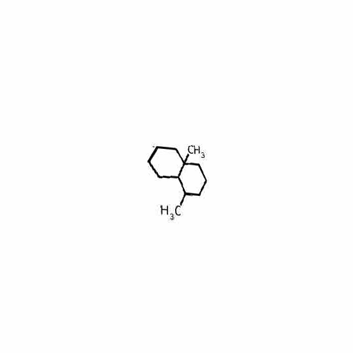 CC1CCCC2(C)C[CH]CCC12